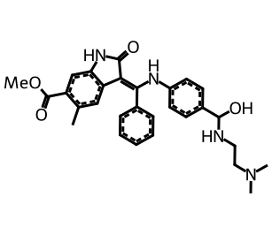 COC(=O)c1cc2c(cc1C)/C(=C(/Nc1ccc(C(O)NCCN(C)C)cc1)c1ccccc1)C(=O)N2